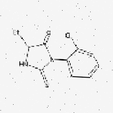 CCC1NC(=S)N(c2ccccc2Cl)C1=O